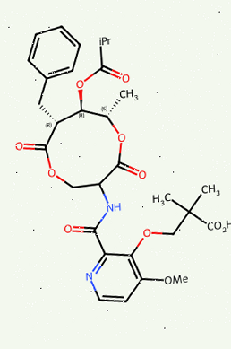 COc1ccnc(C(=O)NC2COC(=O)[C@H](Cc3ccccc3)[C@@H](OC(=O)C(C)C)[C@H](C)OC2=O)c1OCC(C)(C)C(=O)O